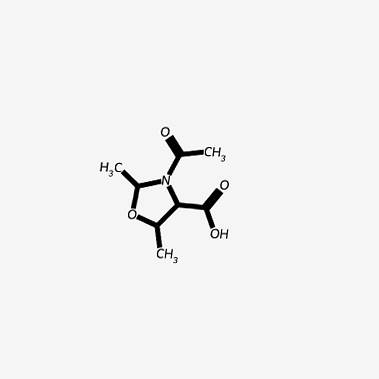 CC(=O)N1C(C)OC(C)C1C(=O)O